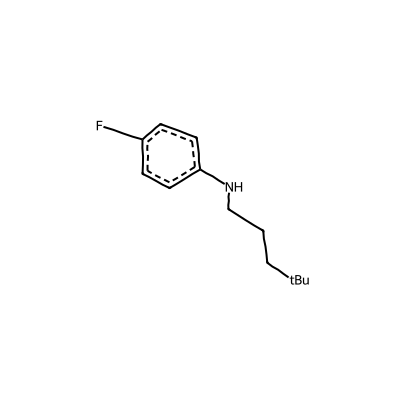 CC(C)(C)CCCNc1ccc(F)cc1